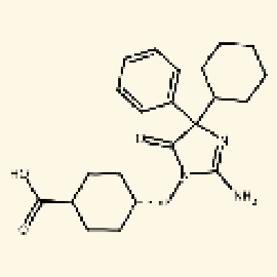 NC1=NC(c2ccccc2)(C2CCCCC2)C(=O)N1C[C@H]1CC[C@H](C(=O)O)CC1